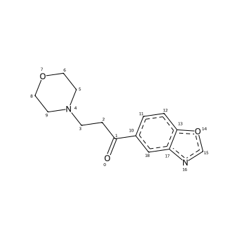 O=C(CCN1CCOCC1)c1ccc2ocnc2c1